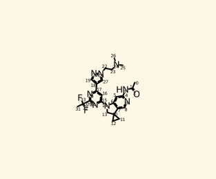 CC(=O)Nc1cc2c(cn1)C1(CC1)CN2c1cc(-c2cnn(CCN(C)C)c2)nc(C(C)(F)F)n1